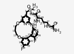 CS(=O)(Cc1cc2nc(c1)OCCCOc1cc(F)ccc1-c1cc(ncc1F)N2)=NC(=O)[C@@H](N)CCCNC(N)=O